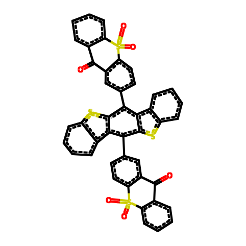 O=C1c2ccccc2S(=O)(=O)c2ccc(-c3c4sc5ccccc5c4c(-c4ccc5c(c4)C(=O)c4ccccc4S5(=O)=O)c4sc5ccccc5c34)cc21